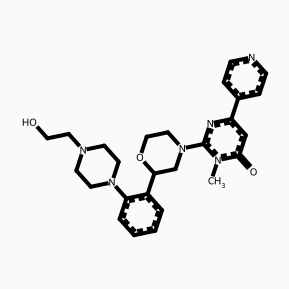 Cn1c(N2CCOC(c3ccccc3N3CCN(CCO)CC3)C2)nc(-c2ccncc2)cc1=O